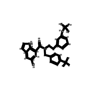 CC(C)(C)c1ccc(CN(CCc2cccc(OC(F)(F)F)c2)C(=O)c2nc(Cl)cc3cc[nH]c23)cc1